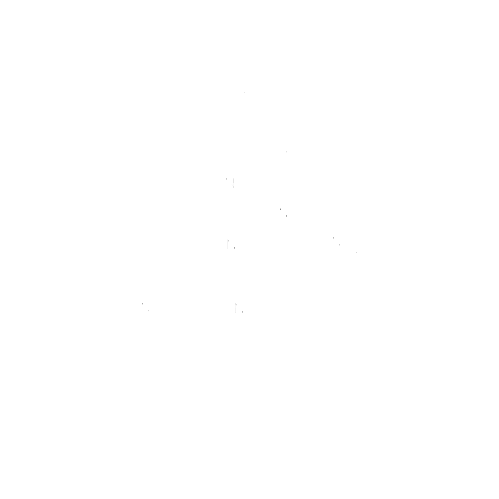 C=CC(=O)Nc1nc(N)c2ccn(-c3cncc(C)c3)c2n1